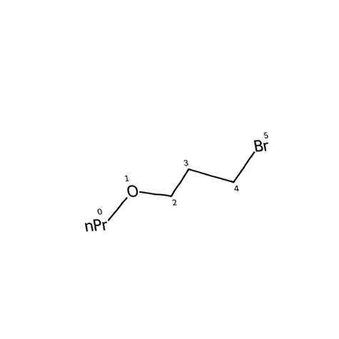 [CH2]CCOCCCBr